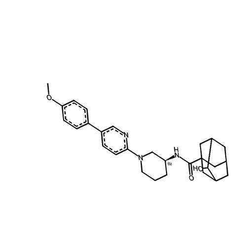 COc1ccc(-c2ccc(N3CCC[C@H](NC(=O)C45CC6CC(C4)C(O)C(C6)C5)C3)nc2)cc1